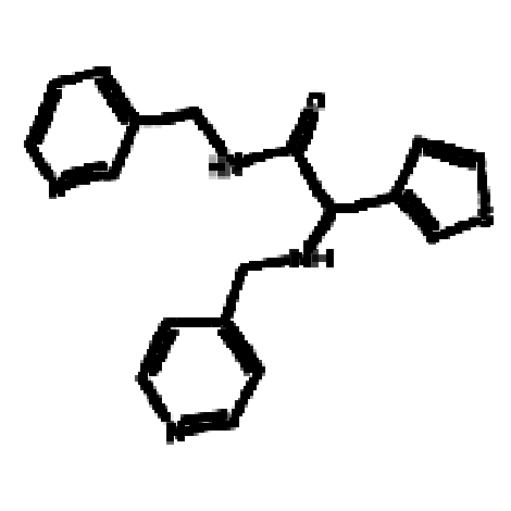 O=C(NCc1cccnc1)C(NCc1ccncc1)c1ccsc1